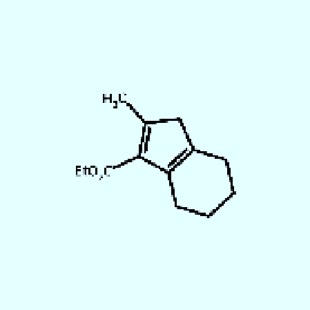 CCOC(=O)C1=C(C)CC2=C1CCCC2